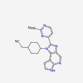 CNc1nccc(-c2nc3cnc4[nH]ccc4c3n2C2CCC(CC#N)CC2)n1